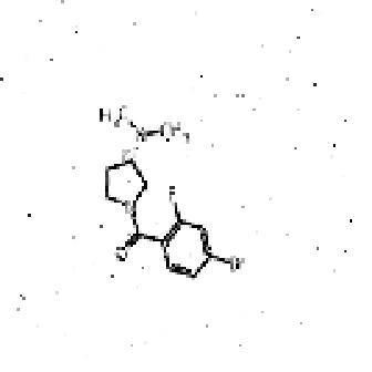 CN(C)[C@H]1CCN(C(=O)c2ccc(Br)cc2F)C1